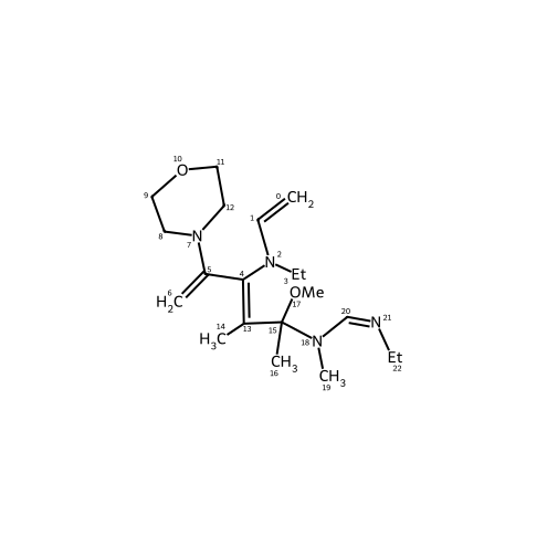 C=CN(CC)/C(C(=C)N1CCOCC1)=C(/C)C(C)(OC)N(C)/C=N\CC